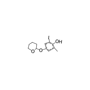 Cc1cc(OC2CCCCO2)cc(I)c1O